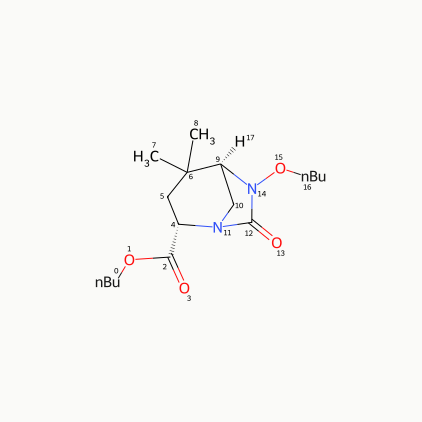 CCCCOC(=O)[C@@H]1CC(C)(C)[C@@H]2CN1C(=O)N2OCCCC